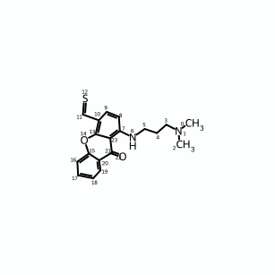 CN(C)CCCNc1ccc(C=S)c2oc3ccccc3c(=O)c12